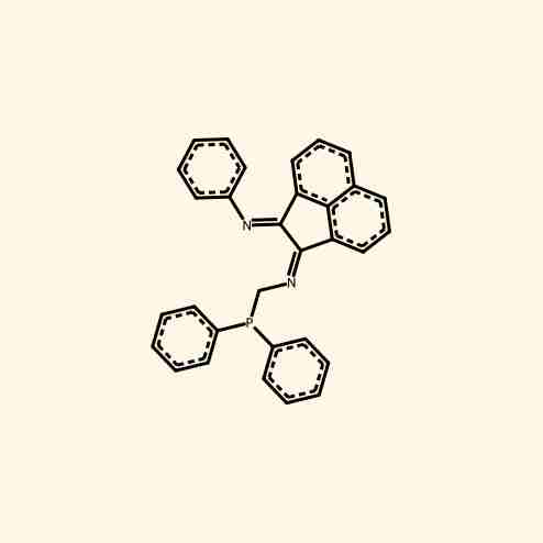 c1ccc(/N=C2/C(=N\CP(c3ccccc3)c3ccccc3)c3cccc4cccc2c34)cc1